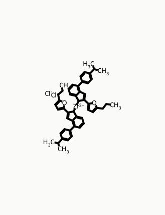 CCCc1ccc(C2=Cc3c(-c4ccc(C(C)C)cc4)cccc3[CH]2[Zr+2][CH]2C(c3ccc(CCC)o3)=Cc3c(-c4ccc(C(C)C)cc4)cccc32)o1.[Cl-].[Cl-]